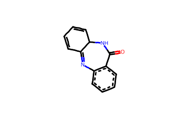 O=C1NC2C=CC=CC2=Nc2ccccc21